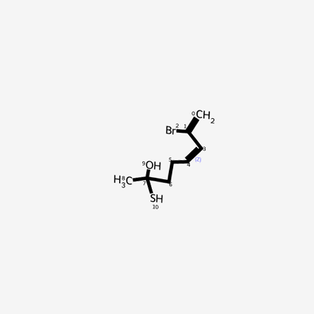 C=C(Br)/C=C\CCC(C)(O)S